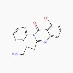 NCCCc1nc2cccc(Br)c2c(=O)n1-c1ccccc1